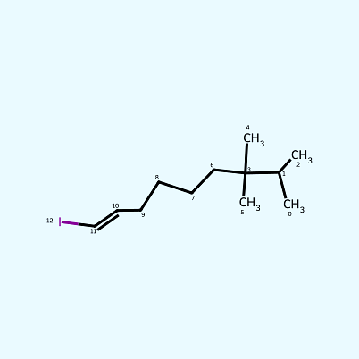 CC(C)C(C)(C)CCCCC=CI